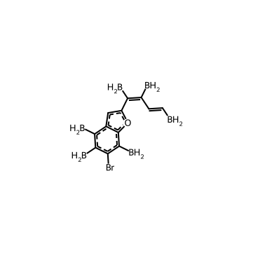 B/C=C/C(B)=C(/B)c1cc2c(B)c(B)c(Br)c(B)c2o1